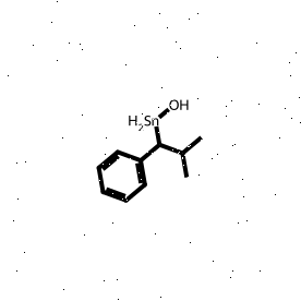 CC(C)[CH]([SnH2][OH])c1ccccc1